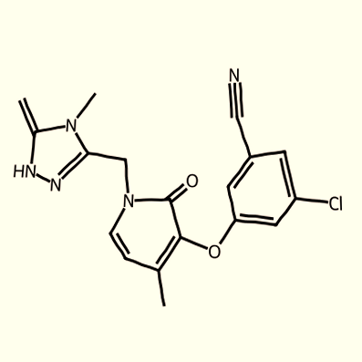 C=C1NN=C(Cn2ccc(C)c(Oc3cc(Cl)cc(C#N)c3)c2=O)N1C